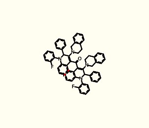 O=C(C1=C(N2CCc3ccccc3C2)C(c2ccccc2)N(c2ccccc2F)c2ccncc21)C1=C(N2CCc3ccccc3C2)C(c2ccccc2)N(c2ccccc2F)c2ccncc21